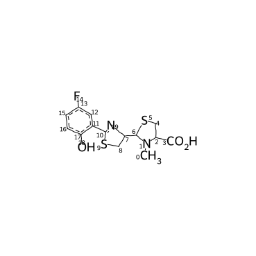 CN1C(C(=O)O)CSC1C1CSC(c2cc(F)ccc2O)=N1